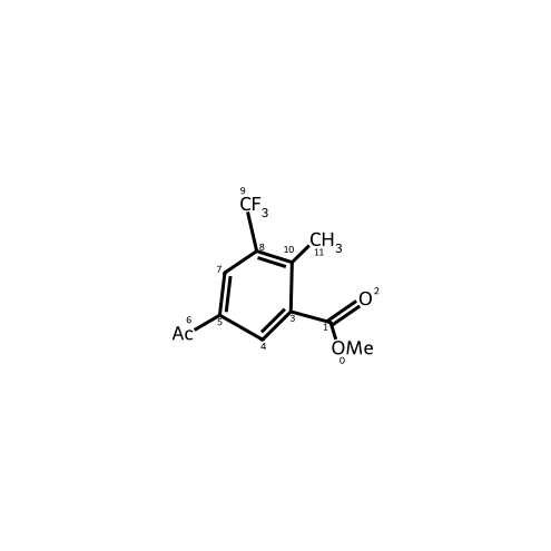 COC(=O)c1cc(C(C)=O)cc(C(F)(F)F)c1C